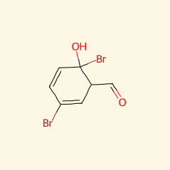 O=CC1C=C(Br)C=CC1(O)Br